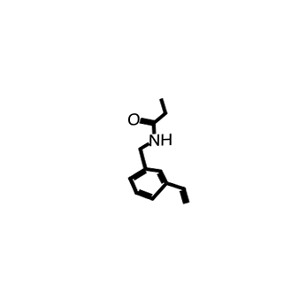 C=Cc1cccc(CNC(=O)CC)c1